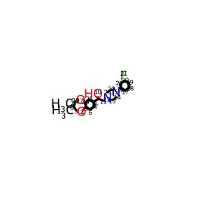 CC1(C)COc2ccc(C(O)CN3CCN(c4cccc(F)c4)CC3)cc2OC1